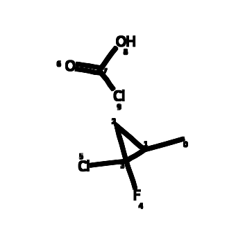 CC1CC1(F)Cl.O=C(O)Cl